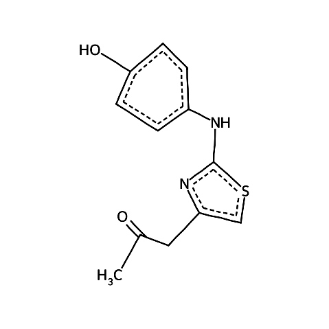 CC(=O)Cc1csc(Nc2ccc(O)cc2)n1